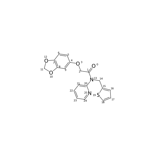 O=C(COc1ccc2c(c1)OCO2)N(Cc1cccs1)c1ccccn1